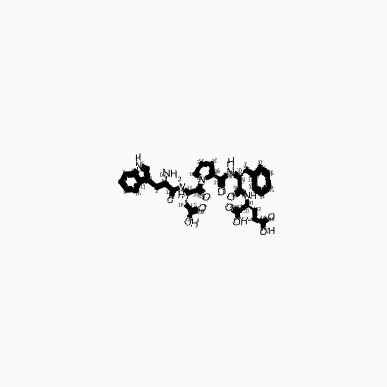 N[C@@H](Cc1c[nH]c2ccccc12)C(=O)N[C@@H](CC(=O)O)C(=O)N1CCC[C@H]1C(=O)N[C@@H](Cc1ccccc1)C(=O)N[C@@H](CCC(=O)O)C(=O)O